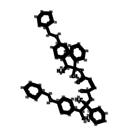 CC(OC(=O)/C=C\C(=O)OC(C)(c1ccccc1)C(N)c1ccc(OCc2ccccc2)cc1)(c1ccccc1)C(N)c1ccc(OCc2ccccc2)cc1